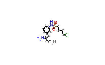 NC(Cc1cccc(NS(=O)(=O)CCCCCl)c1)C(=O)O